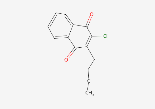 CCCCC1=C(Cl)C(=O)c2ccccc2C1=O